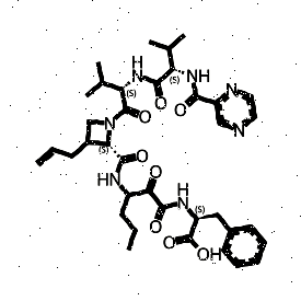 C=CCC1CN(C(=O)[C@@H](NC(=O)[C@@H](NC(=O)c2cnccn2)C(C)C)C(C)C)[C@@H]1C(=O)NC(CCC)C(=O)C(=O)N[C@@H](Cc1ccccc1)C(=O)O